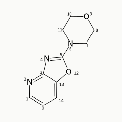 c1cnc2nc(N3CCOCC3)oc2c1